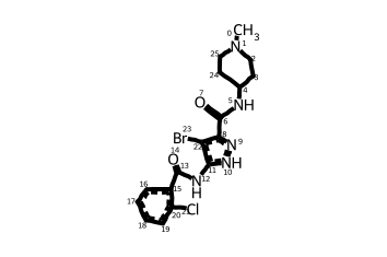 CN1CCC(NC(=O)c2n[nH]c(NC(=O)c3ccccc3Cl)c2Br)CC1